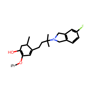 CC(C)OC1=C(O)CC(C)C(CCC(C)(C)N2Cc3ccc(F)cc3C2)=C1